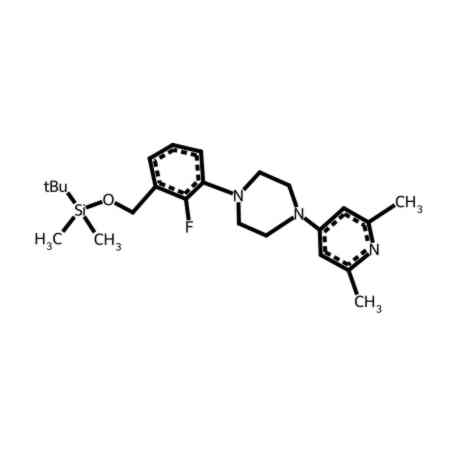 Cc1cc(N2CCN(c3cccc(CO[Si](C)(C)C(C)(C)C)c3F)CC2)cc(C)n1